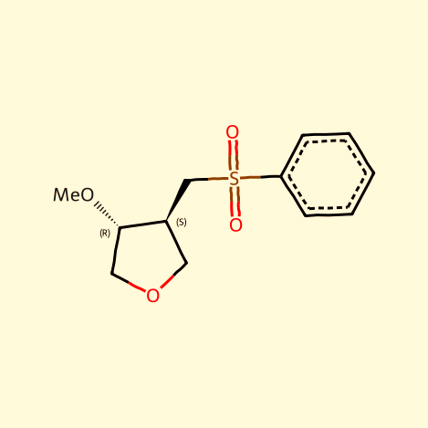 CO[C@H]1COC[C@@H]1CS(=O)(=O)c1ccccc1